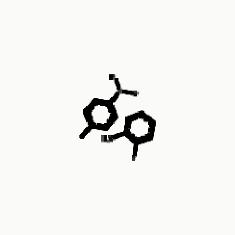 Cc1ccc(N(Br)Br)cc1.Nc1ccccc1F